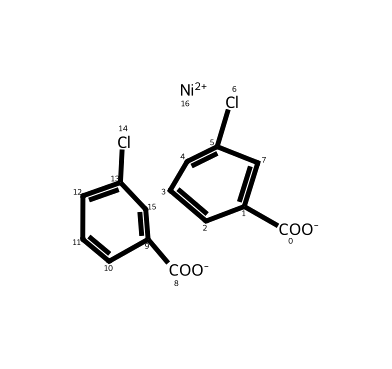 O=C([O-])c1cccc(Cl)c1.O=C([O-])c1cccc(Cl)c1.[Ni+2]